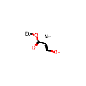 CCOC(=O)/C=C/O.[Na]